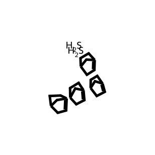 C1=C2CCC(C1)C2.C1=C2CCC(C1)C2.C1=C2CCC(C1)C2.C1=C2CCC(C1)C2.S.S